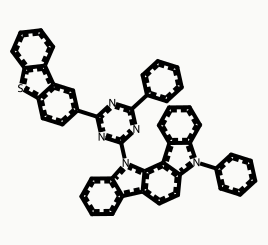 c1ccc(-c2nc(-c3ccc4sc5ccccc5c4c3)nc(-n3c4ccccc4c4ccc5c(c6ccccc6n5-c5ccccc5)c43)n2)cc1